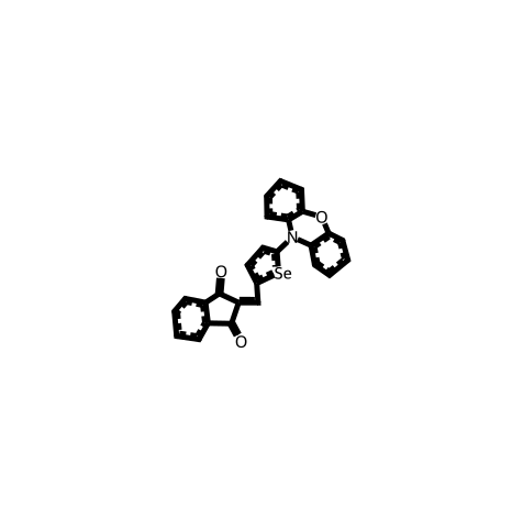 O=C1C(=Cc2ccc(N3c4ccccc4Oc4ccccc43)[se]2)C(=O)c2ccccc21